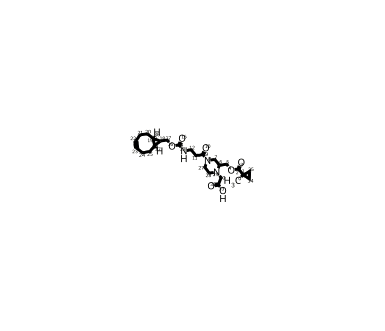 CC1(C(=O)OCC2CN(C(=O)CCNC(=O)OCC3[C@H]4CCC#CCC[C@@H]34)CCN2CC(=O)O)CC1